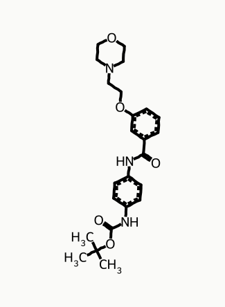 CC(C)(C)OC(=O)Nc1ccc(NC(=O)c2cccc(OCCN3CCOCC3)c2)cc1